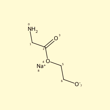 NCC(=O)OCC[O-].[Na+]